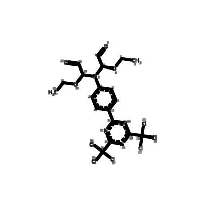 CCOC(C=O)N(c1ccc(-c2nc(C(Cl)(Cl)Cl)nc(C(Cl)(Cl)Cl)n2)cc1)C(C=O)OCC